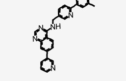 Cc1cc(-c2ccc(CNc3ncnc4cc(-c5cccnc5)ccc34)cn2)ccn1